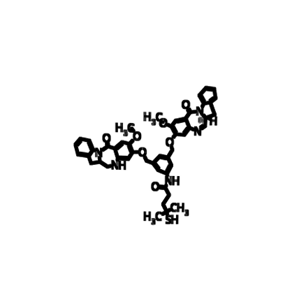 COc1cc2c(cc1OCc1cc(COc3cc4c(cc3OC)C(=O)N3c5ccccc5CC3CN4)cc(NC(=O)CCC(C)(C)S)c1)N=C[C@@H]1Cc3ccccc3N1C2=O